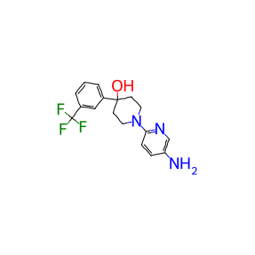 Nc1ccc(N2CCC(O)(c3cccc(C(F)(F)F)c3)CC2)nc1